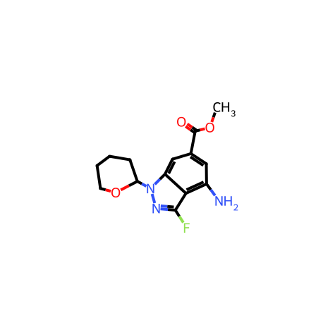 COC(=O)c1cc(N)c2c(F)nn(C3CCCCO3)c2c1